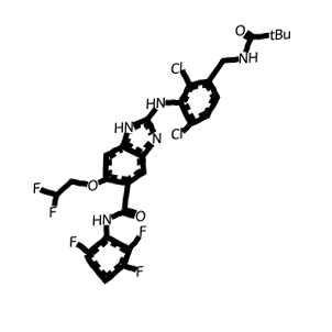 CC(C)(C)C(=O)NCc1ccc(Cl)c(Nc2nc3cc(C(=O)Nc4c(F)ccc(F)c4F)c(OCC(F)F)cc3[nH]2)c1Cl